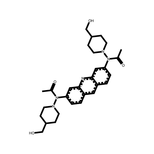 CC(=O)N(c1ccc2cc3ccc(N(C(C)=O)N4CCC(CO)CC4)cc3nc2c1)N1CCC(CO)CC1